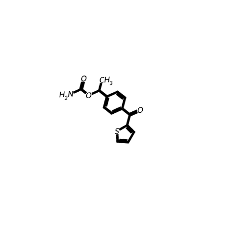 CC(OC(N)=O)c1ccc(C(=O)c2cccs2)cc1